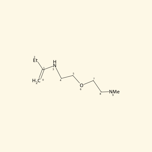 C=C(CC)NCCOCCNC